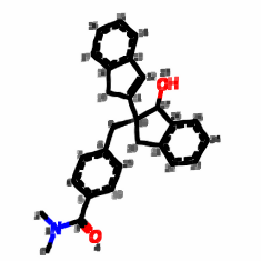 CN(C)C(=O)c1ccc(C[C@]2(C3=Cc4ccccc4C3)Cc3ccccc3C2O)cc1